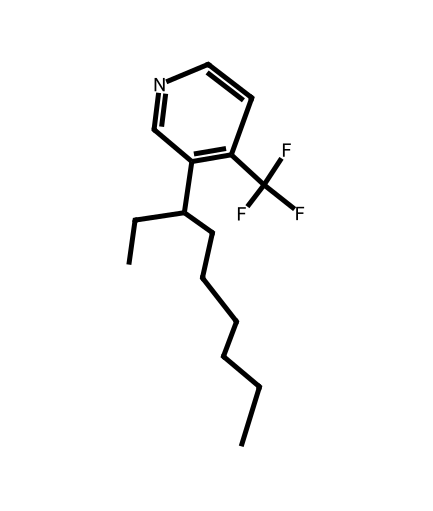 CCCCCCC(CC)c1cnccc1C(F)(F)F